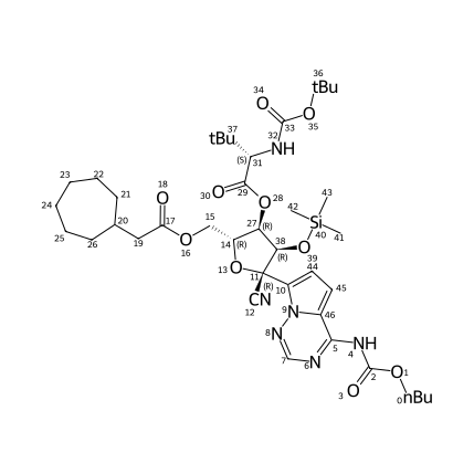 CCCCOC(=O)Nc1ncnn2c([C@]3(C#N)O[C@H](COC(=O)CC4CCCCCC4)[C@@H](OC(=O)[C@@H](NC(=O)OC(C)(C)C)C(C)(C)C)[C@H]3O[Si](C)(C)C)ccc12